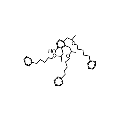 CC(Cc1ccc(O)c(CC(C)OCCCCCc2ccccc2)c1CC(C)OCCCCCc1ccccc1)OCCCCCc1ccccc1